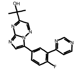 CC(C)(O)c1cnn2c(-c3ccc(F)c(-c4ccncn4)c3)cnc2n1